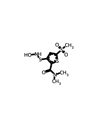 CN(C)C(=O)c1sc(S(C)(=O)=O)cc1SNO